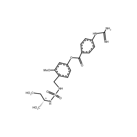 COc1cc(OC(=O)c2ccc(NC(=N)N)cc2)ccc1CNS(=O)(=O)N[C@@H](CC(=O)O)C(=O)O